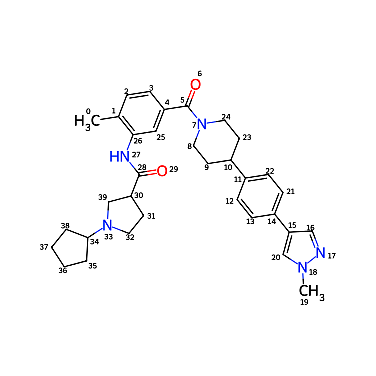 Cc1ccc(C(=O)N2CCC(c3ccc(-c4cnn(C)c4)cc3)CC2)cc1NC(=O)C1CCN(C2CCCC2)C1